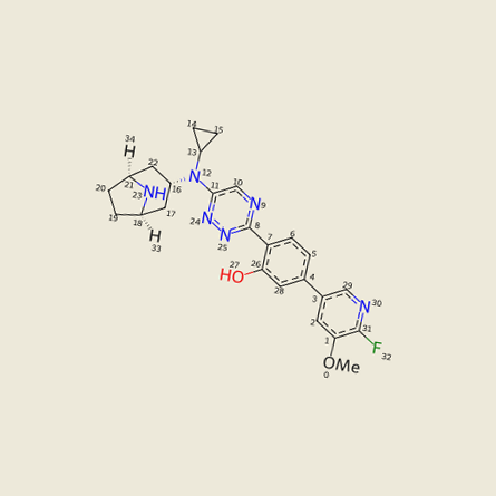 COc1cc(-c2ccc(-c3ncc(N(C4CC4)[C@@H]4C[C@H]5CC[C@@H](C4)N5)nn3)c(O)c2)cnc1F